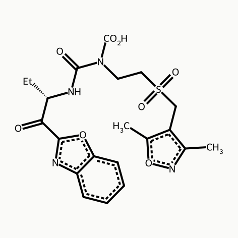 CC[C@H](NC(=O)N(CCS(=O)(=O)Cc1c(C)noc1C)C(=O)O)C(=O)c1nc2ccccc2o1